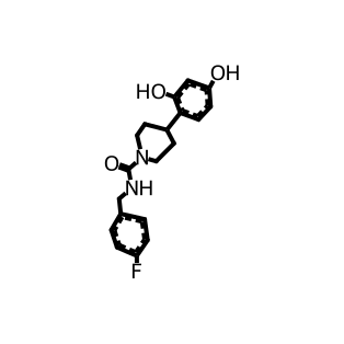 O=C(NCc1ccc(F)cc1)N1CCC(c2ccc(O)cc2O)CC1